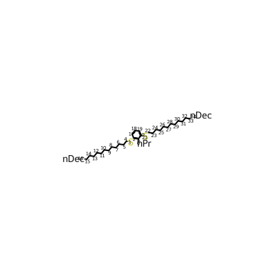 [CH2]CCc1c(SCCCCCCCCCCCCCCCCCCCCCC)cccc1SCCCCCCCCCCCCCCCCCCCCCC